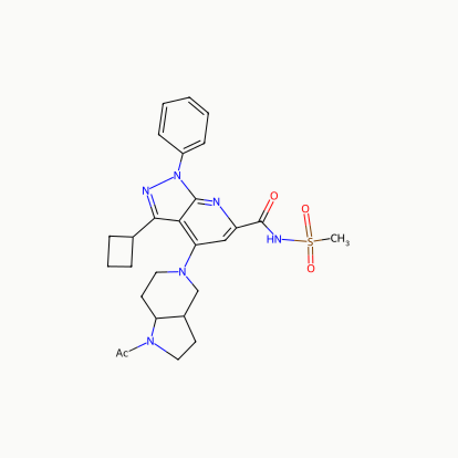 CC(=O)N1CCC2CN(c3cc(C(=O)NS(C)(=O)=O)nc4c3c(C3CCC3)nn4-c3ccccc3)CCC21